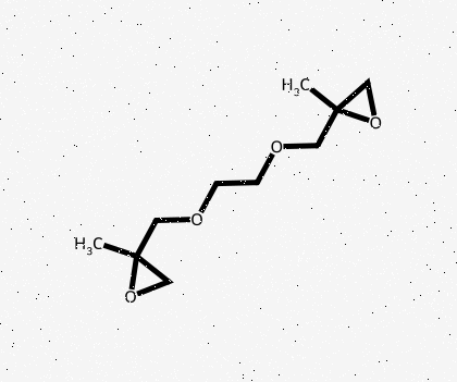 CC1(COCCOCC2(C)CO2)CO1